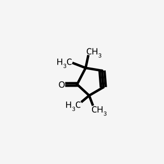 CC1(C)C#CC(C)(C)C1=O